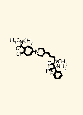 CN(C)C(=O)C1=C(Cl)CC=C(N2CCC(CCCN(C)C(=O)[C@@](N)(c3ccccc3)C(F)(F)F)CC2)C=C1